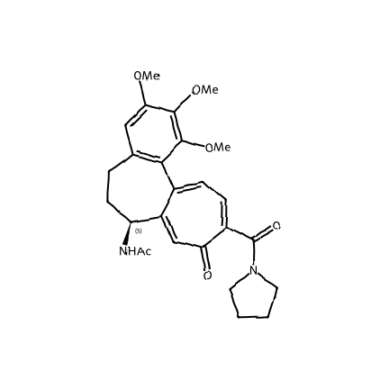 COc1cc2c(c(OC)c1OC)-c1ccc(C(=O)N3CCCC3)c(=O)cc1[C@@H](NC(C)=O)CC2